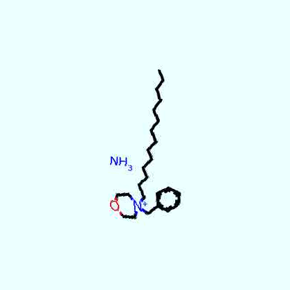 CCCCCCCCCCCCCC[N+]1(Cc2ccccc2)CCOCC1.N